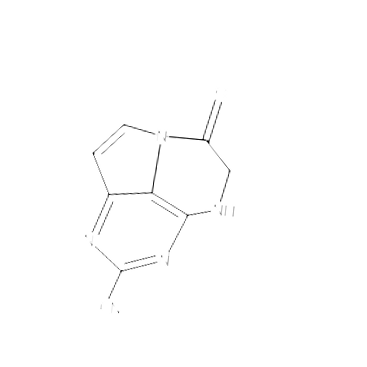 N#Cc1nc2c3c(ccn3C(=O)CN2)n1